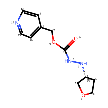 O=C(NN[C@@H]1CCOC1)OCc1ccncc1